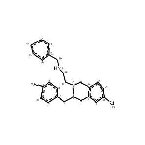 Fc1ccc(CC2Cc3cc(Cl)ccc3CN2CCNCc2ccccc2)cc1